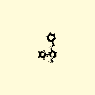 ON1C=CC(OCc2ccccc2)C1c1ccco1